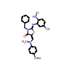 CCNc1ccc(C#N)cc1N=C1SC(=CN(C)c2ccc(OC)cc2)C(=O)N1Cc1ccccc1